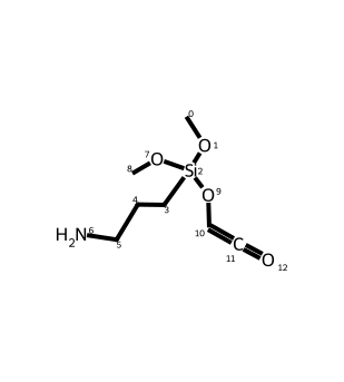 CO[Si](CCCN)(OC)OC=C=O